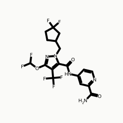 NC(=O)c1cc(NC(=O)c2c(C(F)(F)F)c(OC(F)F)nn2CC2CCC(F)(F)C2)ccn1